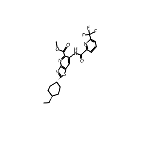 CC[C@H]1CC[C@H](c2nc3nc(C(=O)OC)c(NC(=O)c4cccc(C(F)(F)F)n4)cc3s2)CC1